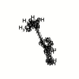 Cc1ncsc1-c1ccc([C@H](C)NC(=O)[C@@H]2C[C@@H](O)CN2C(=O)C(NC(=O)CCCCCCCCCNC(=O)CO[C@H]2C[C@@H](C(=O)N3CCOC(c4ccccc4)C3)N(C(=O)C(NC(=O)c3cc4cc(C(F)(F)P(=O)(O)O)ccc4s3)C(C)(C)C)C2)C(C)(C)C)cc1